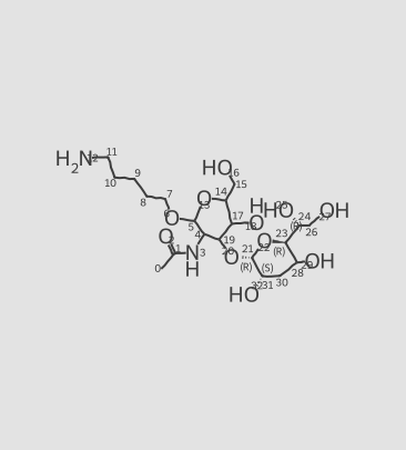 CC(=O)NC1C(OCCCCCN)OC(CO)C(O)C1O[C@@H]1O[C@@H]([C@H](O)CO)C(O)C[C@@H]1O